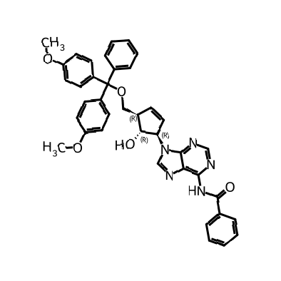 COc1ccc(C(OC[C@H]2C=C[C@@H](n3cnc4c(NC(=O)c5ccccc5)ncnc43)[C@@H]2O)(c2ccccc2)c2ccc(OC)cc2)cc1